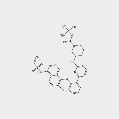 C=CS(=O)(=O)Nc1cccc2c(Oc3ncccc3-c3ccnc(NC4CCCN(C(=O)OC(C)(C)C)C4)n3)c(C)ccc12